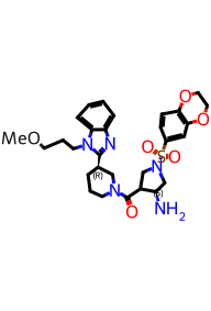 COCCCn1c([C@@H]2CCCN(C(=O)C3CN(S(=O)(=O)c4ccc5c(c4)OCCO5)C[C@H]3N)C2)nc2ccccc21